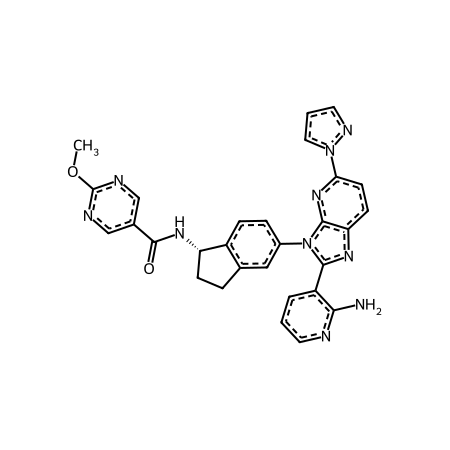 COc1ncc(C(=O)N[C@H]2CCc3cc(-n4c(-c5cccnc5N)nc5ccc(-n6cccn6)nc54)ccc32)cn1